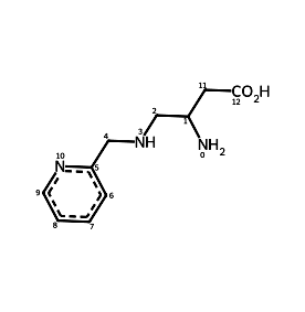 NC(CNCc1ccccn1)CC(=O)O